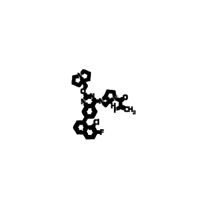 C=C(F)C(=O)N1CCC2[C@H]1CN2c1nc(OCC23CCCN2CCC3)nc2cc(-c3cccc4ccc(F)c(Cl)c34)ccc12